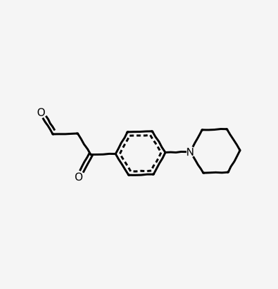 O=CCC(=O)c1ccc(N2CCCCC2)cc1